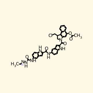 C/C=N/NC(=O)Nc1ccc2[nH]c(C(=O)Nc3ccc4[nH]c(C(=O)N5CC(CCl)c6c5cc(OC(C)=O)c5ccccc65)cc4c3)cc2c1